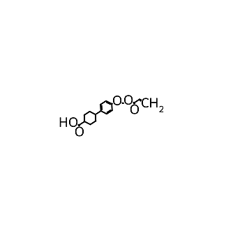 C=CC(=O)OCOc1ccc(C2CCC(C(=O)O)CC2)cc1